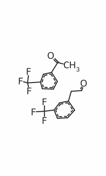 CC(=O)c1cccc(C(F)(F)F)c1.O=CCc1cccc(C(F)(F)F)c1